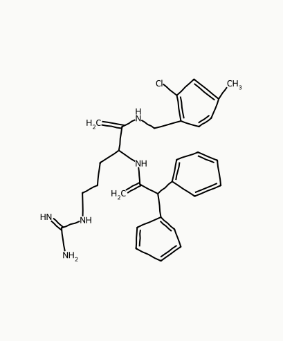 C=C(NCc1ccc(C)cc1Cl)C(CCCNC(=N)N)NC(=C)C(c1ccccc1)c1ccccc1